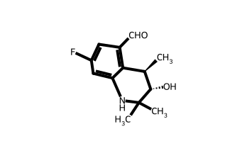 C[C@@H]1c2c(C=O)cc(F)cc2NC(C)(C)[C@H]1O